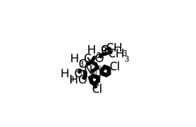 CC[C@@H](CO)N1C(=O)[C@](C)(COCC[Si](C)(C)C)C[C@H](c2cccc(Cl)c2)[C@H]1c1ccc(Cl)cc1